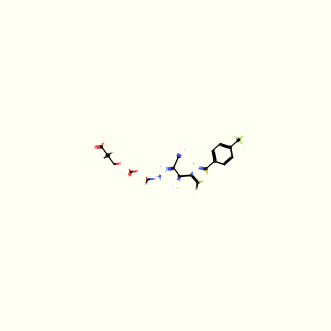 Cc1sc(-c2ccc(C(F)(F)F)cc2)nc1C(=N)/C(C#N)=N\NC(C)OC(=O)OCC(C)(C)C(=O)O